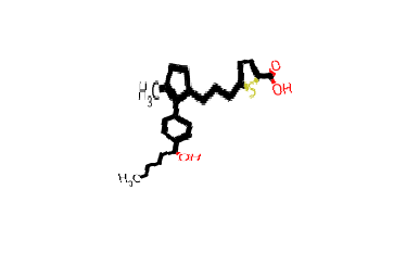 CCCCCC(O)c1ccc(C2=C(C)CCC2CCCc2ccc(C(=O)O)s2)cc1